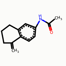 C=C1CCCc2cc(NC(C)=O)ccc21